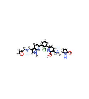 COc1nc(-c2cccc(-c3ccc4c(CNC[C@@H]5CCO5)cn(C)c4n3)c2Cl)ccc1CNC[C@@H]1CCC(=O)N1